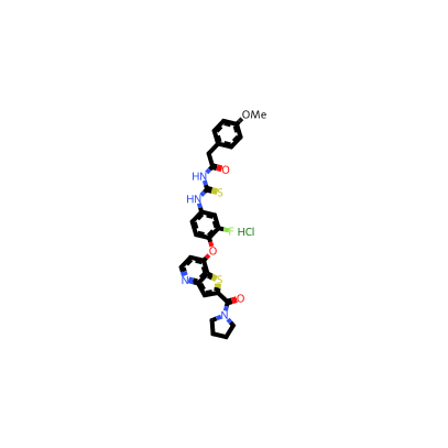 COc1ccc(CC(=O)NC(=S)Nc2ccc(Oc3ccnc4cc(C(=O)N5CCCC5)sc34)c(F)c2)cc1.Cl